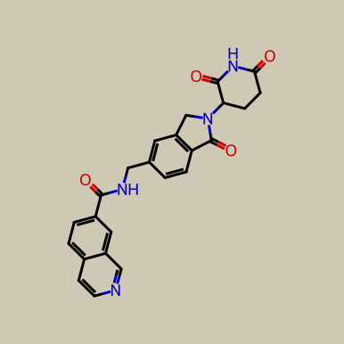 O=C1CCC(N2Cc3cc(CNC(=O)c4ccc5ccncc5c4)ccc3C2=O)C(=O)N1